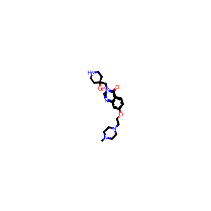 CN1CCN(CCOc2ccc3c(=O)n(CC4(O)CCNCC4)cnc3c2)CC1